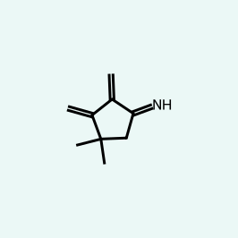 C=C1C(=C)C(C)(C)CC1=N